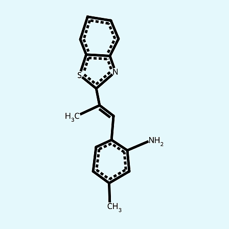 CC(=Cc1ccc(C)cc1N)c1nc2ccccc2s1